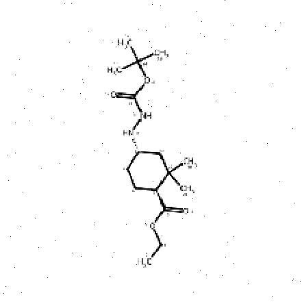 CCOC(=O)[C@H]1CC[C@H](NNC(=O)OC(C)(C)C)CC1(C)C